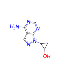 Nc1ncnc2c1cnn2C1CC1O